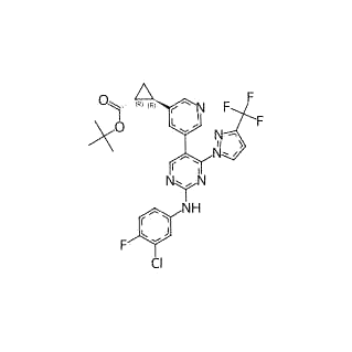 CC(C)(C)OC(=O)[C@@H]1C[C@H]1c1cncc(-c2cnc(Nc3ccc(F)c(Cl)c3)nc2-n2ccc(C(F)(F)F)n2)c1